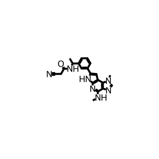 CNc1nc2[nH]c(-c3cccc(C(C)NC(=O)CC#N)c3)cc2c2c1ncn2C